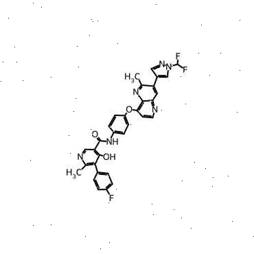 Cc1nc2c(Oc3ccc(NC(=O)c4cnc(C)c(-c5ccc(F)cc5)c4O)cc3)ccnc2cc1-c1cnn(C(F)F)c1